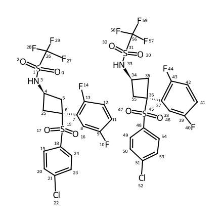 O=S(=O)(N[C@H]1C[C@@](c2cc(F)ccc2F)(S(=O)(=O)c2ccc(Cl)cc2)C1)C(F)(F)F.O=S(=O)(N[C@H]1C[C@@](c2cc(F)ccc2F)(S(=O)(=O)c2ccc(Cl)cc2)C1)C(F)(F)F